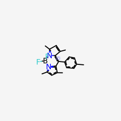 CC1=CC(C)=N/C1=C(/c1ccc(C)cc1)c1c(C)cc(C)n1B(F)F